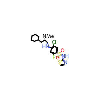 CN[C@H](CNc1cc(F)c(S(=O)(=O)Nc2nccs2)cc1Cl)CC1CCCCC1